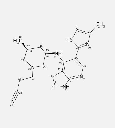 Cc1csc(-c2cnc3[nH]ccc3c2N[C@@H]2C[C@H](C)CN(CCC#N)C2)n1